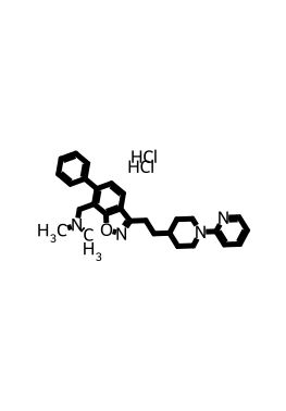 CN(C)Cc1c(-c2ccccc2)ccc2c(CCC3CCN(c4ccccn4)CC3)noc12.Cl.Cl